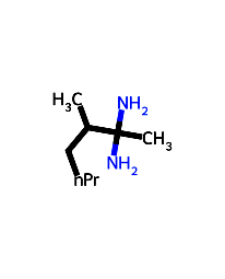 CCCCC(C)C(C)(N)N